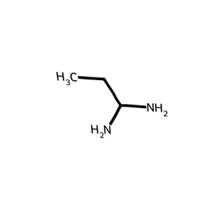 CCC(N)N